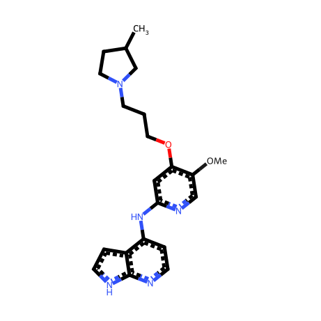 COc1cnc(Nc2ccnc3[nH]ccc23)cc1OCCCN1CCC(C)C1